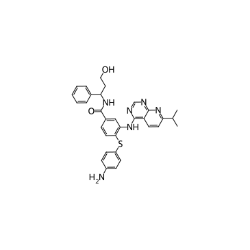 CC(C)c1ccc2c(Nc3cc(C(=O)NC(CCO)c4ccccc4)ccc3Sc3ccc(N)cc3)ncnc2n1